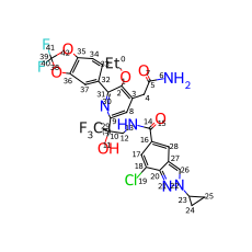 CCOc1c(CC(N)=O)cc([C@@](O)(CNC(=O)c2cc(Cl)c3nn(C4CC4)cc3c2)C(F)(F)F)nc1-c1ccc2c(c1)OC(F)(F)O2